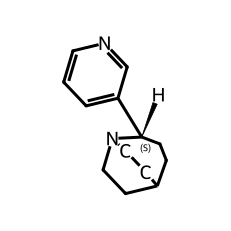 c1cncc([C@@H]2CCC3CCN2CC3)c1